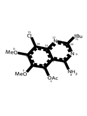 COc1c(OC)c(OC(C)=O)c2c(N)nc(C(C)(C)C)nc2c1Cl